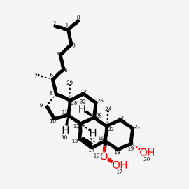 CC(C)CCC[C@@H](C)[C@H]1CC[C@H]2[C@@H]3C=CC4(OO)C[C@@H](O)CC[C@]4(C)[C@H]3CC[C@]12C